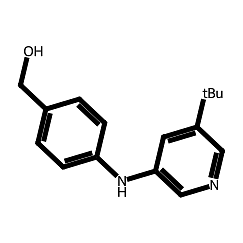 CC(C)(C)c1cncc(Nc2ccc(CO)cc2)c1